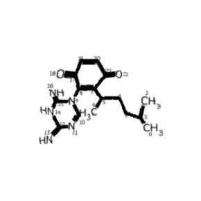 CC(C)CCC(C)C1=C(n2cnc(=N)[nH]c2=N)C(=O)C=CC1=O